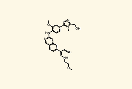 COCCN/C=C(\C=N)c1ccc2cnc(Nc3ccc(-c4cnc(CO)n4C)cc3OC)cc2c1